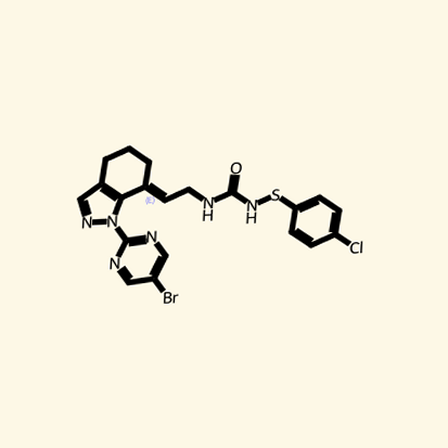 O=C(NC/C=C1\CCCc2cnn(-c3ncc(Br)cn3)c21)NSc1ccc(Cl)cc1